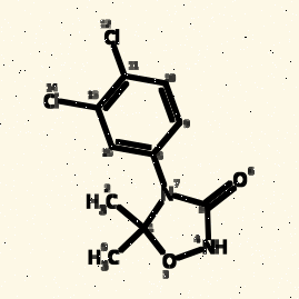 CC1(C)ONC(=O)N1c1ccc(Cl)c(Cl)c1